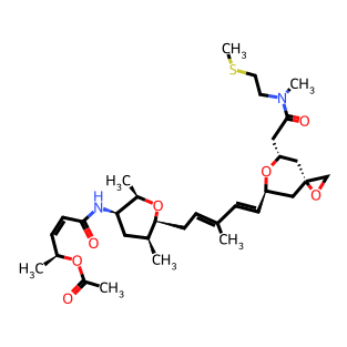 CSCCN(C)C(=O)C[C@@H]1C[C@@]2(CO2)C[C@@H](/C=C/C(C)=C/C[C@@H]2O[C@H](C)[C@H](NC(=O)/C=C\[C@H](C)OC(C)=O)C[C@@H]2C)O1